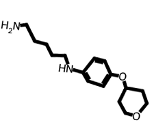 NCCCCCNc1ccc(OC2CCOCC2)cc1